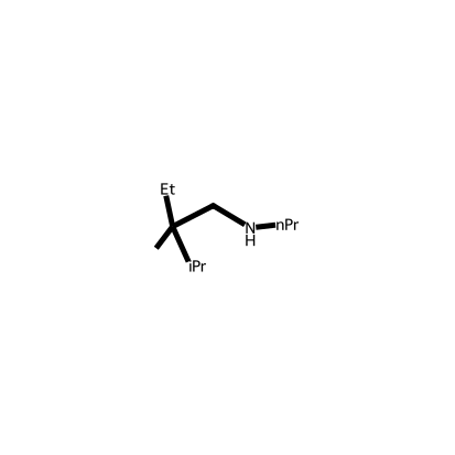 CCCNCC(C)(CC)C(C)C